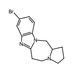 Brc1ccc2c(c1)nc1n2CC2CCCN2CC1